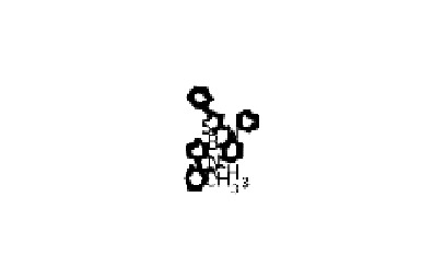 CC1(C)N2C3CC=CC4=C3B(C3C=CCC(C32)C12CCCCC2)C1SC(c2ccccc2)CC1N4C1C=CC=CC1